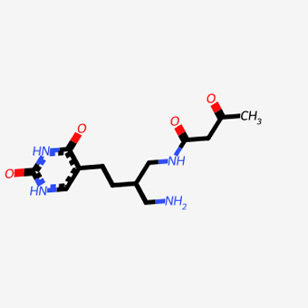 CC(=O)CC(=O)NCC(CN)CCc1c[nH]c(=O)[nH]c1=O